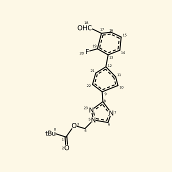 CC(C)(C)C(=O)OCn1cnc(-c2ccc(-c3cccc(C=O)c3F)cc2)n1